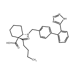 CCCCC(=O)[C@@]1(C(=O)O)CCCC[C@@H]1NCc1ccc(-c2ccccc2-c2nnn[nH]2)cc1